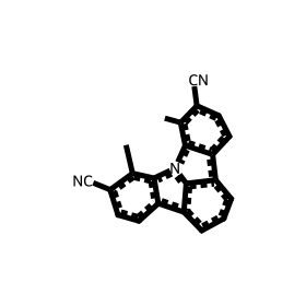 Cc1c(C#N)ccc2c3cccc4c5ccc(C#N)c(C)c5n(c12)c34